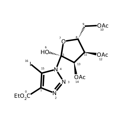 CCOC(=O)c1nnn([C@@]2(O)O[C@H](COC(C)=O)[C@@H](OC(C)=O)[C@H]2OC(C)=O)c1I